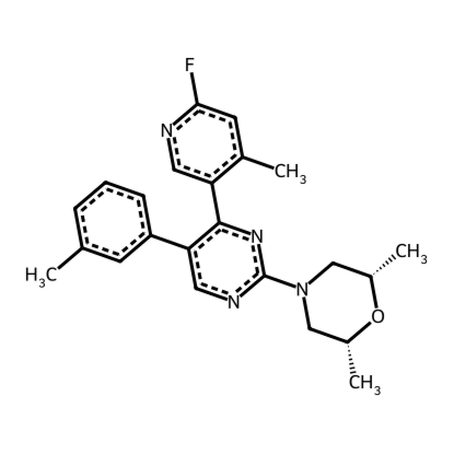 Cc1cccc(-c2cnc(N3C[C@@H](C)O[C@@H](C)C3)nc2-c2cnc(F)cc2C)c1